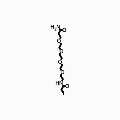 NC(=O)CCOCCOCCOCCOCCNC(=O)CI